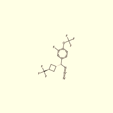 [N-]=[N+]=NC(c1ccc(OC(F)(F)F)c(F)c1)[C@H]1C[C@H](C(F)(F)F)C1